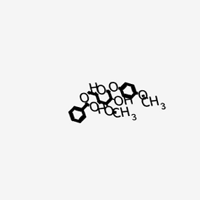 COc1ccc(OC2O[C@@H]3COC(c4ccccc4)O[C@H]3[C@H](OC)[C@H]2O)cc1